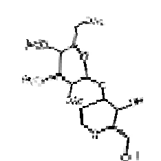 CC(=O)OCC1OC(OC2CCOC(CO)C2O)C(OC(C)=O)C(OC(C)=O)C1OC(C)=O